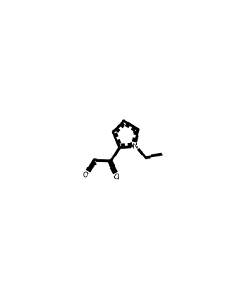 CCn1cccc1C(=O)C=O